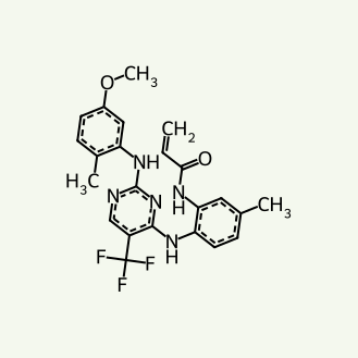 C=CC(=O)Nc1cc(C)ccc1Nc1nc(Nc2cc(OC)ccc2C)ncc1C(F)(F)F